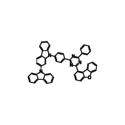 c1ccc(-c2nc(-c3ccc(-n4c5ccccc5c5ccc(-n6c7ccccc7c7ccccc76)cc54)cc3)nc(-c3cccc4oc5ccccc5c34)n2)cc1